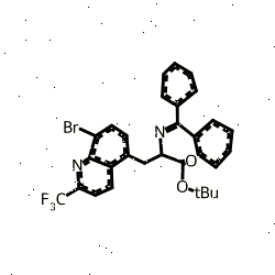 CC(C)(C)OC(=O)C(Cc1ccc(Br)c2nc(C(F)(F)F)ccc12)N=C(c1ccccc1)c1ccccc1